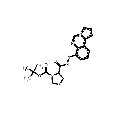 CC(C)(C)OC(=O)N1CSCC1C(=O)NNc1cccc2c1ncn1cccc21